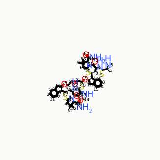 CN[C@@H](C)C(=S)NC1C[C@H]([C@H]2c3ccccc3CC2OCCOCCOC2Cc3ccccc3[C@@H]2[C@H]2CC(NC(=S)[C@H](C)NC)C(=O)N3C(CC(C)(C)C3C(N)=O)S2)SC2CC(C)(C)C(C(N)=O)N2C1=O